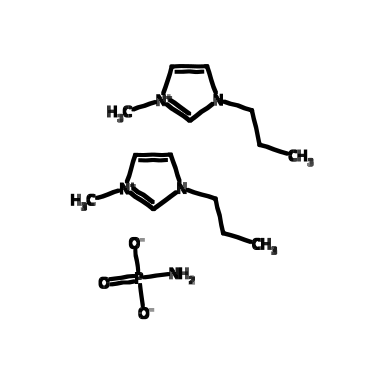 CCCn1cc[n+](C)c1.CCCn1cc[n+](C)c1.NP(=O)([O-])[O-]